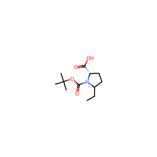 CCC1CC[C@@H](C(=O)O)N1C(=O)OC(C)(C)C